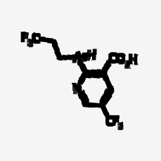 O=C(O)c1cc(C(F)(F)F)cnc1[AsH]CCC(F)(F)F